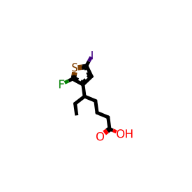 CCC(CCCC(=O)O)c1cc(I)sc1F